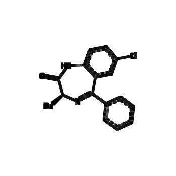 CCC(C)[C@@H]1N=C(c2ccccc2)c2cc(Cl)ccc2NC1=O